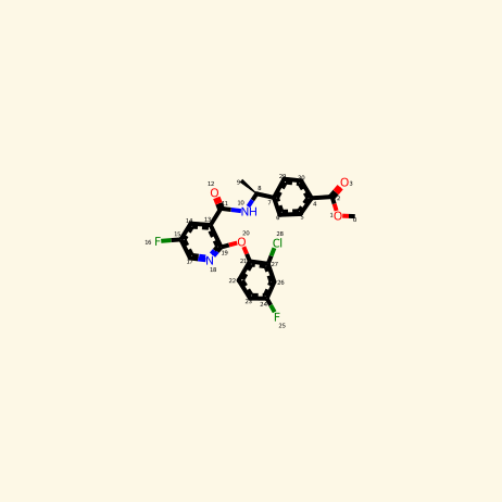 COC(=O)c1ccc([C@H](C)NC(=O)c2cc(F)cnc2Oc2ccc(F)cc2Cl)cc1